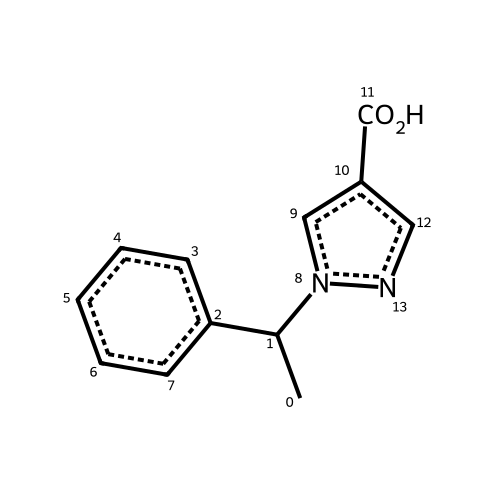 CC(c1ccccc1)n1cc(C(=O)O)cn1